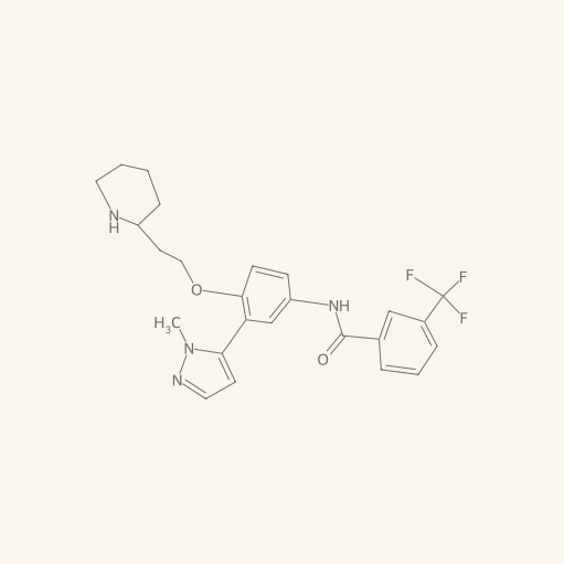 Cn1nccc1-c1cc(NC(=O)c2cccc(C(F)(F)F)c2)ccc1OCCC1CCCCN1